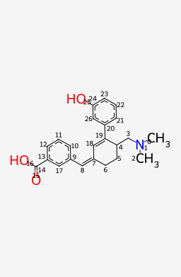 CN(C)CC1CC/C(=C/c2cccc(C(=O)O)c2)C=C1c1cccc(O)c1